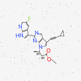 CCOC(=O)[C@H](C)[C@@H](C)n1cc(C#CC2CC2)c2cnc(-c3c[nH]c4ncc(F)cc34)nc21